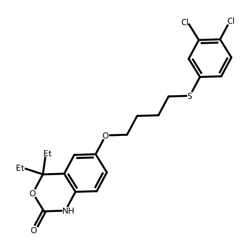 CCC1(CC)OC(=O)Nc2ccc(OCCCCSc3ccc(Cl)c(Cl)c3)cc21